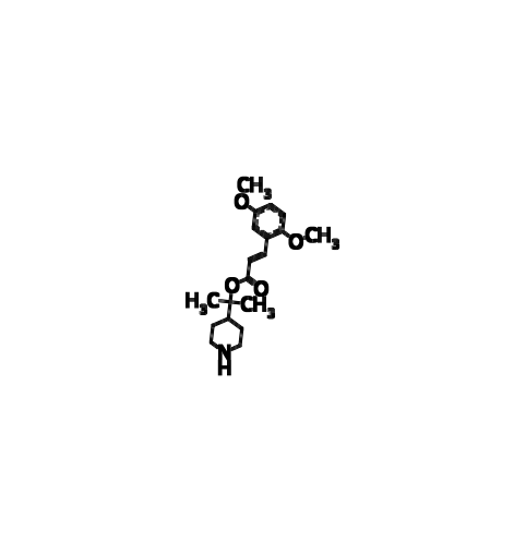 COc1ccc(OC)c(/C=C/C(=O)OC(C)(C)C2CCNCC2)c1